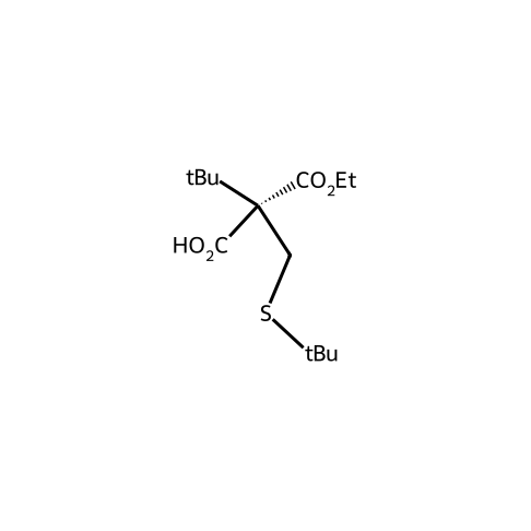 CCOC(=O)[C@](CSC(C)(C)C)(C(=O)O)C(C)(C)C